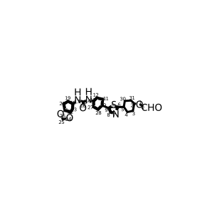 O=COC1CCC(c2ncc(-c3ccc(NC(=O)Nc4ccc5c(c4)OCO5)cc3)s2)CC1